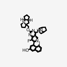 Oc1cc(-c2ncc3c(N4CC5CCC(C4)N5)nc(OCC45CCCN4[C@H]4CCC[C@H]4C5)nc3c2F)c2c(I)cccc2c1